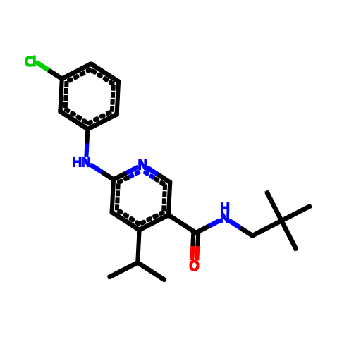 CC(C)c1cc(Nc2cccc(Cl)c2)ncc1C(=O)NCC(C)(C)C